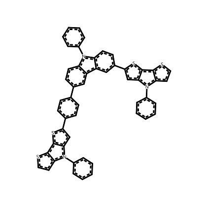 c1ccc(-n2c3ccc(-c4ccc(-c5cc6c(s5)c5sccc5n6-c5ccccc5)cc4)cc3c3cc(-c4cc5c(s4)c4sccc4n5-c4ccccc4)ccc32)cc1